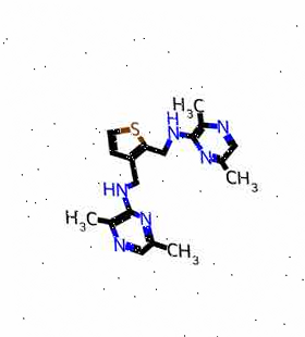 Cc1cnc(C)c(NCc2ccsc2CNc2nc(C)cnc2C)n1